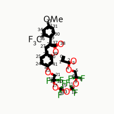 C=CC(=O)OCC(F)(F)OC(F)(F)OC(F)(F)OC(F)(F)COc1ccc2cc(-c3ccc(OC)cc3C(F)(F)F)c(=O)oc2c1